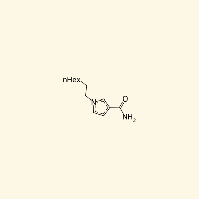 CCCCCCCCn1ccc(C(N)=O)c1